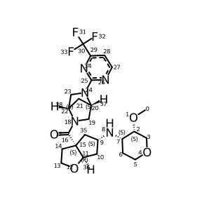 CO[C@@H]1COCC[C@@H]1N[C@@H]1C[C@H]2OCC[C@@]2(C(=O)N2C[C@@H]3C[C@H]2CN3c2nccc(C(F)(F)F)n2)C1